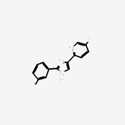 Clc1cccc(-c2nc(-c3ccc(Br)cn3)c[nH]2)c1